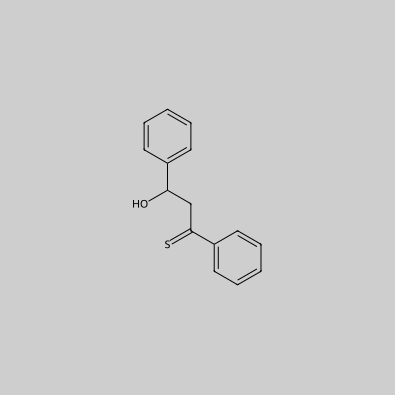 OC(CC(=S)c1ccccc1)c1ccccc1